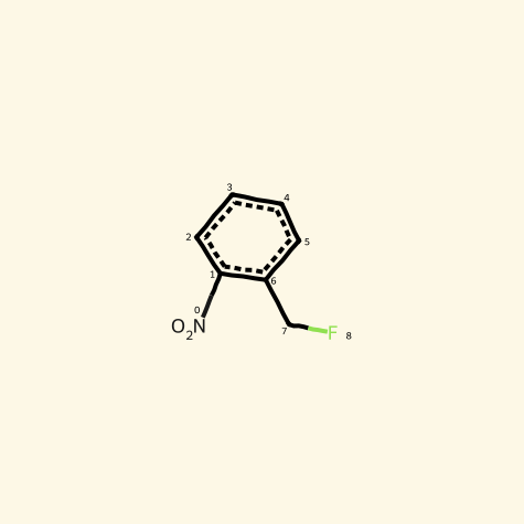 O=[N+]([O-])c1ccccc1CF